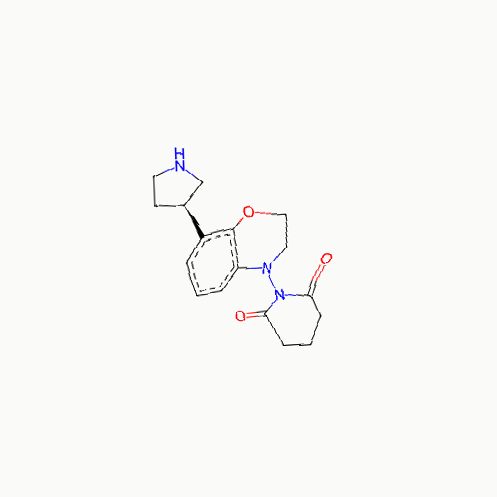 O=C1CCCC(=O)N1N1CCOc2c([C@H]3CCNC3)cccc21